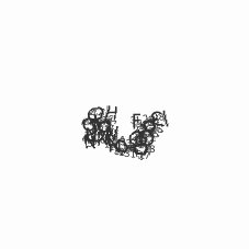 CCn1ccnc1CN1C(CN2CCC(c3cccc4c3OC(C)(c3ccc(Cl)cc3F)O4)CC2)=NC2C=CC(C(=O)O)=CC21